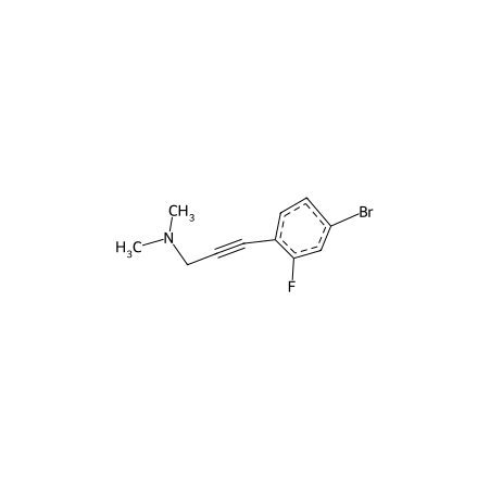 CN(C)CC#Cc1ccc(Br)cc1F